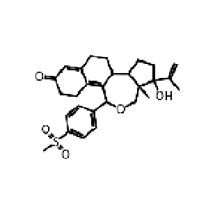 C=C(C)C1(O)CCC2C3CCC4=CC(=O)CCC4=C3C(c3ccc(S(C)(=O)=O)cc3)OCC21C